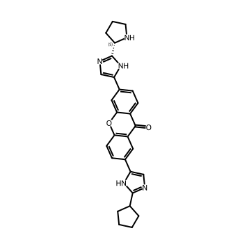 O=c1c2ccc(-c3cnc([C@@H]4CCCN4)[nH]3)cc2oc2ccc(-c3cnc(C4CCCC4)[nH]3)cc12